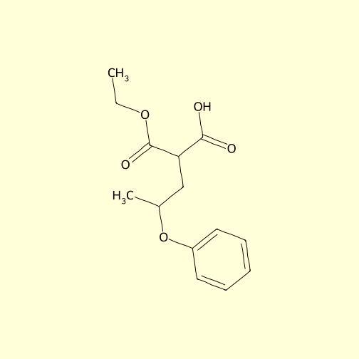 CCOC(=O)C(CC(C)Oc1ccccc1)C(=O)O